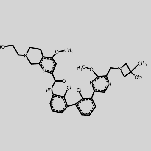 COc1cc(C(=O)Nc2cccc(-c3cccc(-c4cnc(CN5CC(C)(O)C5)c(OC)n4)c3Cl)c2Cl)nc2c1CCN(CCO)C2